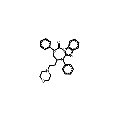 O=C1N(c2ccccc2)CC(CCN2CCOCC2)N(c2ccccc2)c2nc3ccccc3n21